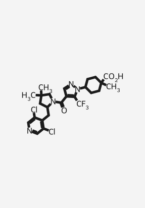 CC1(C)CC(Cc2c(Cl)cncc2Cl)N(C(=O)c2cnn(C3CCC(C)(C(=O)O)CC3)c2C(F)(F)F)C1